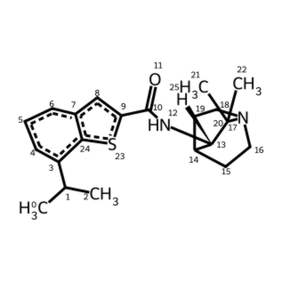 CC(C)c1cccc2cc(C(=O)N[C@H]3C4CCN(CC4)C3(C)C)sc12